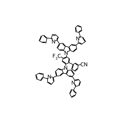 N#Cc1cccc(-c2cc(-n3c4ccc(-c5cccc(-c6ccccc6)n5)cc4c4cc(-c5cccc(-c6ccccc6)n5)ccc43)c(C(F)(F)F)cc2-n2c3ccc(-c4cccc(-c5ccccc5)n4)cc3c3cc(-c4cccc(-c5ccccc5)n4)ccc32)c1